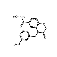 COc1cccc(CN2C(=O)COc3ccc(C(=O)NO)cc32)c1